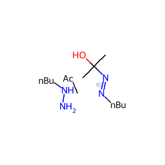 CC(C)=O.CCCC/N=N/C(C)(C)O.CCCCNN